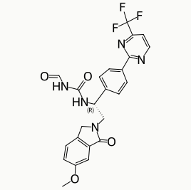 COc1ccc2c(c1)C(=O)N(C[C@H](NC(=O)NC=O)c1ccc(-c3nccc(C(F)(F)F)n3)cc1)C2